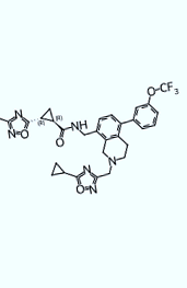 Cc1noc([C@@H]2C[C@H]2C(=O)NCc2ccc(-c3cccc(OC(F)(F)F)c3)c3c2CN(Cc2noc(C4CC4)n2)CC3)n1